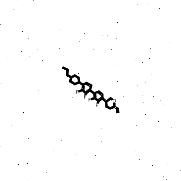 C=CC1CCC(c2ccc(-c3ccc(C4CCC(CCC)CC4)c(F)c3F)c(F)c2F)CO1